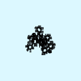 c1ccc(-c2cccc(-c3nc(-c4ccccc4)nc(-c4cccc5sc6cccc(-c7ccc(-c8nc(-c9ccccc9)c9sc%10ccccc%10c9n8)cc7)c6c45)n3)c2)cc1